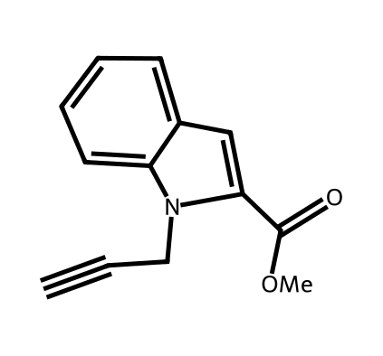 C#CCn1c(C(=O)OC)cc2ccccc21